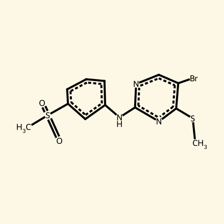 CSc1nc(Nc2cccc(S(C)(=O)=O)c2)ncc1Br